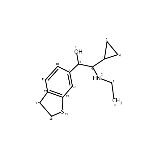 CCNC(C1CC1)C(O)c1ccc2c(c1)SCC2